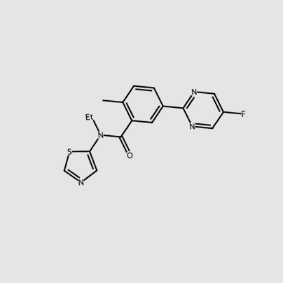 CCN(C(=O)c1cc(-c2ncc(F)cn2)ccc1C)c1cncs1